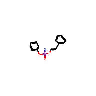 NP(=O)(OC=Cc1ccccc1)Oc1ccccc1